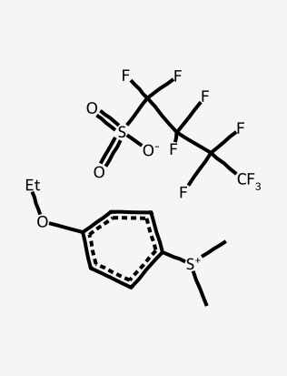 CCOc1ccc([S+](C)C)cc1.O=S(=O)([O-])C(F)(F)C(F)(F)C(F)(F)C(F)(F)F